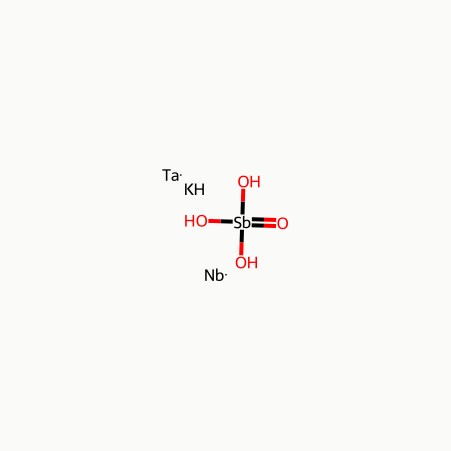 [KH].[Nb].[O]=[Sb]([OH])([OH])[OH].[Ta]